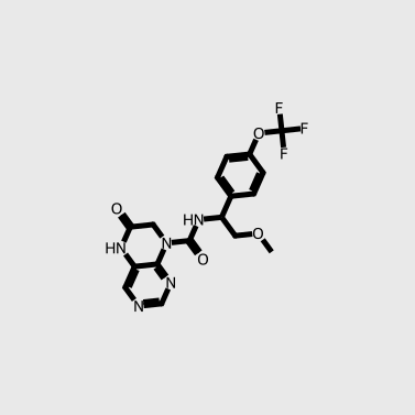 COCC(NC(=O)N1CC(=O)Nc2cncnc21)c1ccc(OC(F)(F)F)cc1